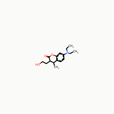 CCN(CC)c1ccc2c(c1)OC(=O)C(CCO)C2C